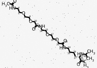 CC(=O)NCCOCCOCC(=O)NCCOCCOCC(=O)NCCCC[C@H](NC(C)C)C(C)=O